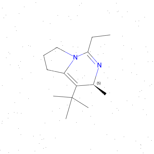 CCC1=N[C@@H](C)C(C(C)(C)C)=C2CCCN12